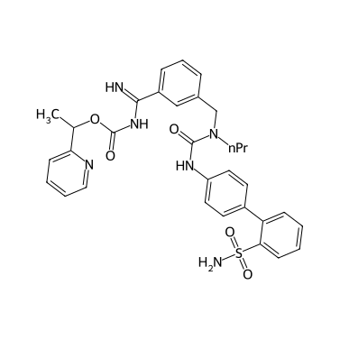 CCCN(Cc1cccc(C(=N)NC(=O)OC(C)c2ccccn2)c1)C(=O)Nc1ccc(-c2ccccc2S(N)(=O)=O)cc1